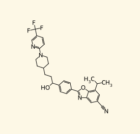 CC(C)c1cc(C#N)cc2nc(-c3ccc(C(O)CCC4CCN(c5ccc(C(F)(F)F)cn5)CC4)cc3)oc12